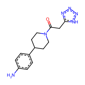 Nc1ccc(C2CCN(C(=O)Cc3nnn[nH]3)CC2)cc1